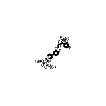 CC[Si](CC)(CC)OC(c1ccc(F)cc1)C(F)(F)CCOc1cc(-c2ccn3nc(N(C(=O)OC(C)(C)C)C(=O)OC(C)(C)C)nc3c2)ccc1F